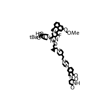 C#Cc1cccc2cc(OCOC)cc(-c3ncc4c(N5CC6CC(O)C(C5)N6C(=O)OC(C)(C)C)nc(OCC5(CN6CCC(CCN7CCN(c8ccc9c(c8)CN([C@H]8CCC(=O)NC8=O)C9=O)CC7)CC6)CC5)nc4c3F)c12